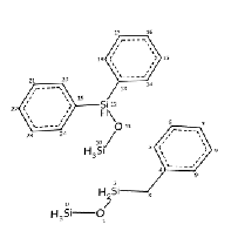 [SiH3]O[SiH2]Cc1ccccc1.[SiH3]O[SiH](c1ccccc1)c1ccccc1